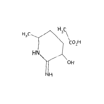 CC(=O)O.CC1CCC(O)C(=N)N1